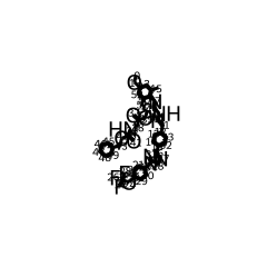 COc1cc(C)c(/N=C(/N/N=C/c2ccc(-c3ncn(-c4ccc(OC(F)(F)F)cc4)n3)cc2)SOC(=O)CNC(=O)OCc2ccccc2)c(C)c1